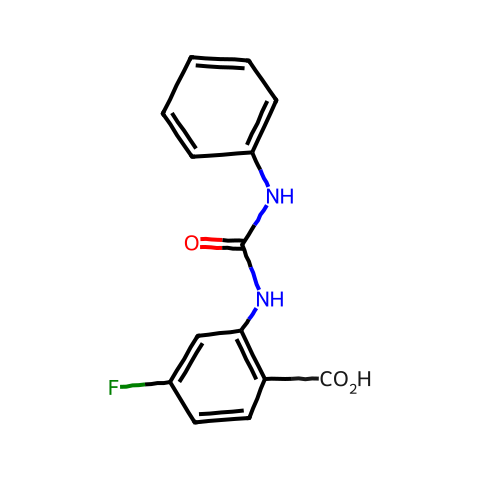 O=C(Nc1ccccc1)Nc1cc(F)ccc1C(=O)O